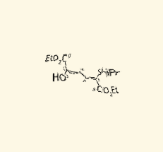 CCOC(=O)/C(O)=C/C=C(\SC(C)C)C(=O)OCC